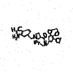 Cc1ccc(CN2CC[C@@H](C(=O)N(Cc3cc(Cl)c4c(c3)OCCCO4)CC(C)C)C2)cc1N